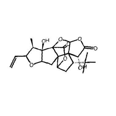 C=CC1OC2CC34C5C[C@@H](C(C)(C)C)C36C(OC(=O)[C@@H]6O)OC4(C(=O)O5)[C@@]2(O)[C@@H]1C